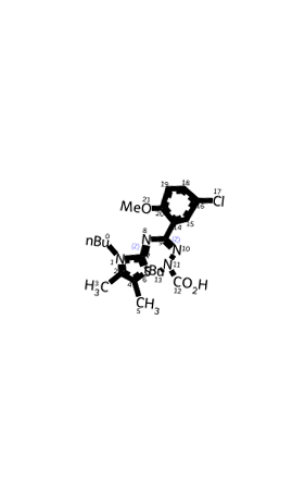 CCCCn1c(C)c(C)s/c1=N\C(=N/N(C(=O)O)C(C)(C)C)c1cc(Cl)ccc1OC